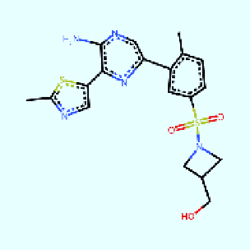 Cc1ncc(-c2nc(-c3cc(S(=O)(=O)N4CC(CO)C4)ccc3C)cnc2N)s1